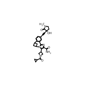 CN1CC[C@](O)(C#Cc2ccc3c(c2)-c2nc(C(N)=O)c(C4CN(C(=O)C5CC5)C4)n2C2CC3C2)C1=O